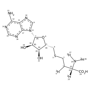 [2H]C(CSC[C@H]1O[C@@H](n2cnc3c(N)ncnc32)[C@H](O)[C@@H]1O)[C@@]([2H])(C(=O)O)N([2H])[2H]